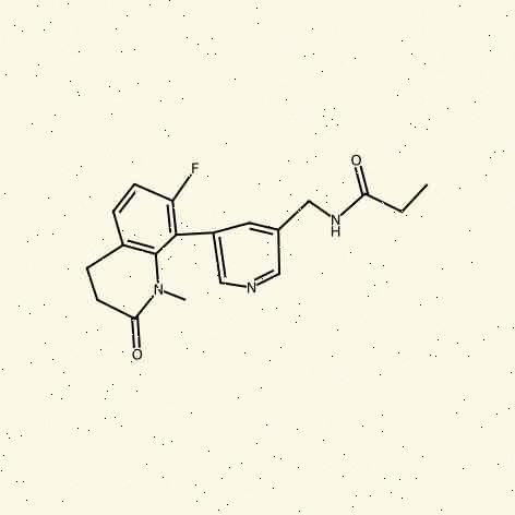 CCC(=O)NCc1cncc(-c2c(F)ccc3c2N(C)C(=O)CC3)c1